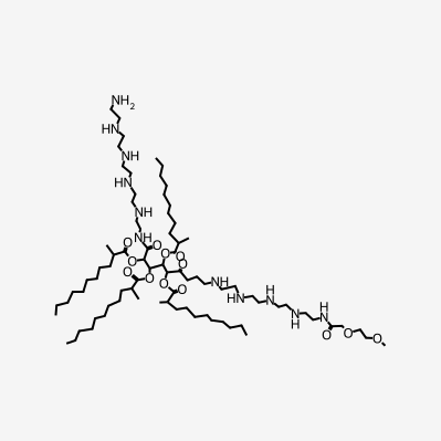 CCCCCCCCCC(C)C(=O)OC(C(=O)CCCNCCNCCNCCNCCNC(=O)COCCOC)C(OC(=O)C(C)CCCCCCCCC)C(OC(=O)C(C)CCCCCCCCC)C(OC(=O)C(C)CCCCCCCCC)C(=O)NCCNCCNCCNCCNCCN